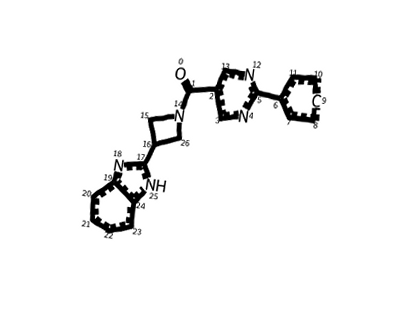 O=C(c1cnc(-c2ccccc2)nc1)N1CC(c2nc3ccccc3[nH]2)C1